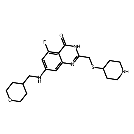 O=c1[nH]c(CSC2CCNCC2)nc2cc(NCC3CCOCC3)cc(F)c12